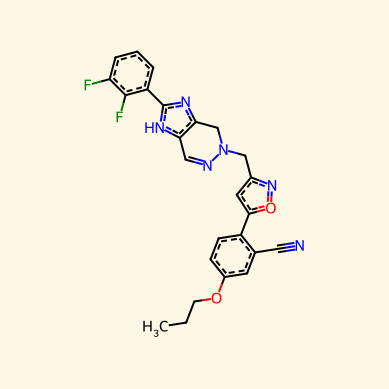 CCCOc1ccc(-c2cc(CN3Cc4nc(-c5cccc(F)c5F)[nH]c4C=N3)no2)c(C#N)c1